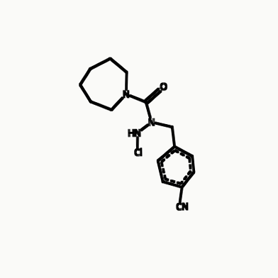 N#Cc1ccc(CN(NCl)C(=O)N2CCCCCC2)cc1